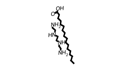 CCCCCCCCCCCCCCCCCC(=O)O.NCCNCCNCCN